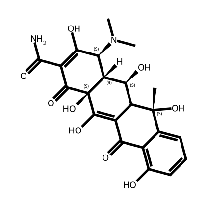 CN(C)[C@@H]1C(O)=C(C(N)=O)C(=O)[C@@]2(O)C(O)=C3C(=O)c4c(O)cccc4[C@@](C)(O)C3[C@H](O)[C@@H]12